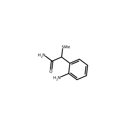 CSC(C(N)=O)c1ccccc1N